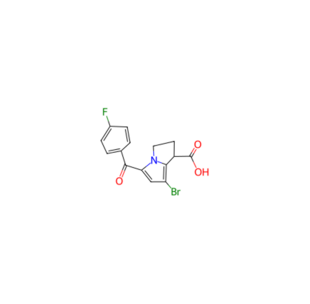 O=C(c1ccc(F)cc1)c1cc(Br)c2n1CCC2C(=O)O